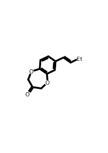 CCC=Cc1ccc2c(c1)OCC(=O)CO2